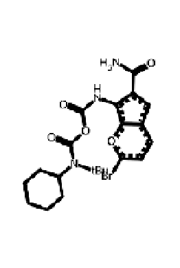 CC(C)(C)N(C(=O)OC(=O)Nc1c(C(N)=O)cc2ccc(Br)oc1-2)C1CCCCC1